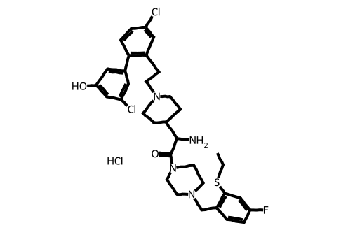 CCSc1cc(F)ccc1CN1CCN(C(=O)C(N)C2CCN(CCc3cc(Cl)ccc3-c3cc(O)cc(Cl)c3)CC2)CC1.Cl